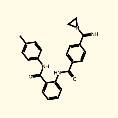 Cc1ccc(NC(=O)c2ccccc2NC(=O)c2ccc(C(=N)N3CC3)cc2)cc1